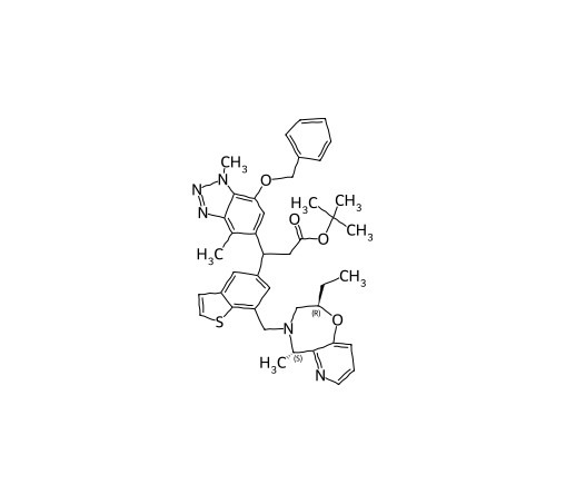 CC[C@@H]1CN(Cc2cc(C(CC(=O)OC(C)(C)C)c3cc(OCc4ccccc4)c4c(nnn4C)c3C)cc3ccsc23)[C@@H](C)c2ncccc2O1